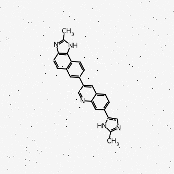 Cc1ncc(-c2ccc3cc(-c4ccc5c(ccc6nc(C)[nH]c65)c4)cnc3c2)[nH]1